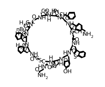 CCCC[C@H]1C(=O)N(C)CC(=O)N[C@@H](CC(=O)O)C(=O)N[C@@H](C(C)C)C(=O)N(C)[C@@H](Cc2ccccc2)C(=O)N[C@@H](Cc2ccc(CN)cc2)C(=O)N(C)CC(=O)N[C@@H](Cc2csc3ccccc23)C(=O)N[C@@H](Cc2ccc(O)cc2)C(=O)N[C@@H](CC(C)C)C(=O)N[C@H](C(=O)NCC(N)=O)CSCC(=O)N[C@@H](Cc2ccccc2)C(=O)N(C)[C@@H](Cc2ccccc2)C(=O)N1C